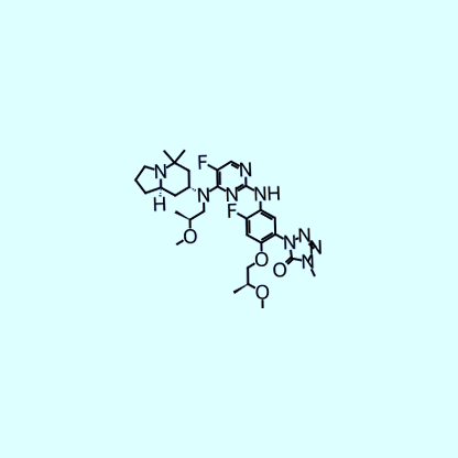 CO[C@@H](C)COc1cc(F)c(Nc2ncc(F)c(N(C[C@H](C)OC)[C@@H]3C[C@H]4CCCN4C(C)(C)C3)n2)cc1-n1nnn(C)c1=O